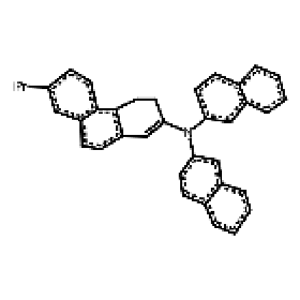 CC(C)c1ccc2c3c(ccc2c1)C=C(N(c1ccc2ccccc2c1)c1ccc2ccccc2c1)CC3